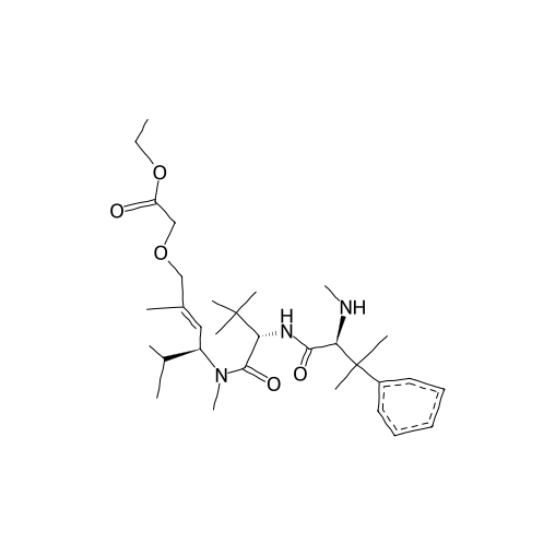 CCOC(=O)COC/C(C)=C/[C@H](C(C)C)N(C)C(=O)[C@@H](NC(=O)[C@@H](NC)C(C)(C)c1ccccc1)C(C)(C)C